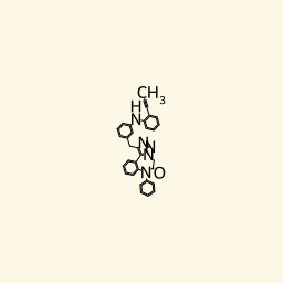 CC#Cc1ccccc1Nc1cccc(Cc2nnn3c2-c2ccccc2N(c2ccccc2)C(=O)C3)c1